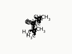 CCc1cc(CC)c(N=Cc2cccc(C=Nc3c(CC)cc(CC)cc3CC)n2)c(CC)c1.[Cl-].[Cl-].[Cl-].[Fe+3]